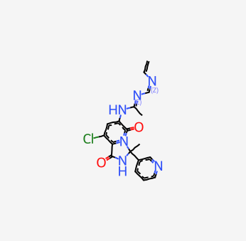 C=C/N=C\N=C(/C)Nc1cc(Cl)c2n(c1=O)C(C)(c1cccnc1)NC2=O